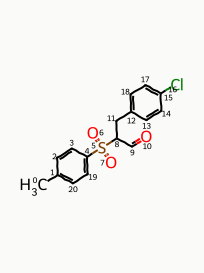 Cc1ccc(S(=O)(=O)C(C=O)Cc2ccc(Cl)cc2)cc1